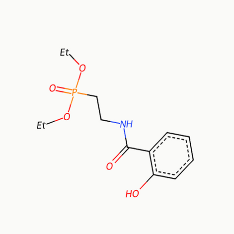 CCOP(=O)(CCNC(=O)c1ccccc1O)OCC